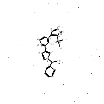 CC(c1ccccc1)n1cnc(-c2cc(-c3nn[nH]c3C(F)(F)F)ccn2)c1